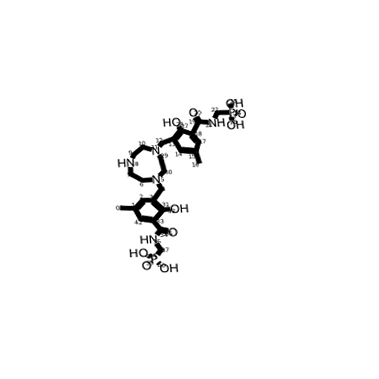 Cc1cc(CN2CCNCCN(Cc3cc(C)cc(C(=O)NCP(=O)(O)O)c3O)CC2)c(O)c(C(=O)NCP(=O)(O)O)c1